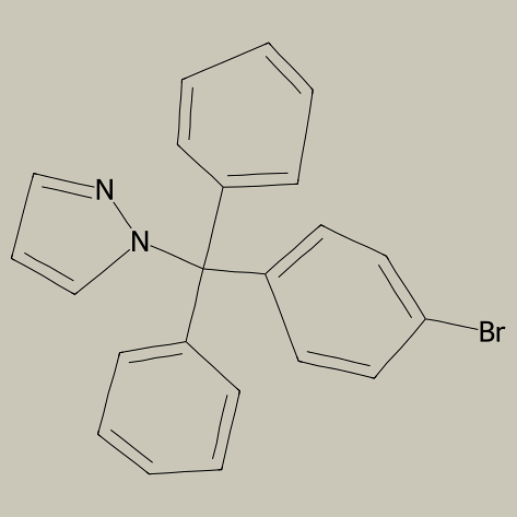 Brc1ccc(C(c2ccccc2)(c2ccccc2)n2cccn2)cc1